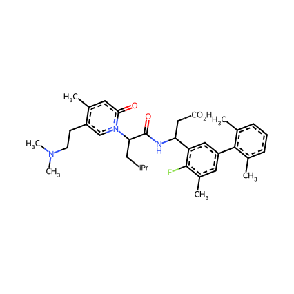 Cc1cc(=O)n(C(CC(C)C)C(=O)NC(CC(=O)O)c2cc(-c3c(C)cccc3C)cc(C)c2F)cc1CCN(C)C